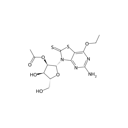 CCOc1nc(N)nc2c1sc(=S)n2[C@@H]1O[C@H](CO)[C@@H](O)[C@H]1OC(C)=O